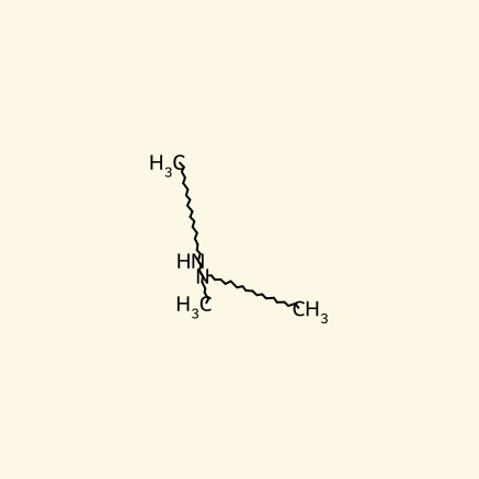 CCCCCCCCCCCCCCCCCCNCCN(CCCCC)CCCCCCCCCCCCCCCCCC